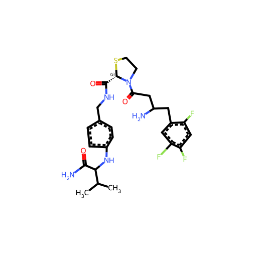 CC(C)C(Nc1ccc(CNC(=O)[C@@H]2SCCN2C(=O)CC(N)Cc2cc(F)c(F)cc2F)cc1)C(N)=O